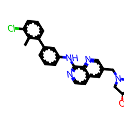 Cc1c(Cl)cccc1-c1cccc(Nc2nccc3cc(CN4CC[C@@H](O)C4)cnc23)c1